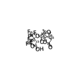 O=C(O)CC(OC(=O)C1C2CC3OC(=O)C1C3O2)(C(F)(F)F)C(F)(F)F